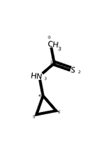 CC(=S)NC1CC1